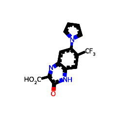 O=C(O)c1nc2cc(-n3cccc3)c(C(F)(F)F)cc2[nH]c1=O